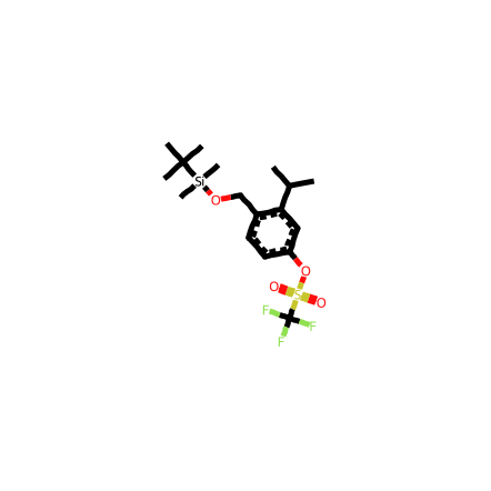 CC(C)c1cc(OS(=O)(=O)C(F)(F)F)ccc1CO[Si](C)(C)C(C)(C)C